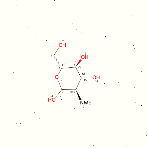 CN[C@H]1C(O)O[C@H](CO)[C@@H](O)[C@@H]1O